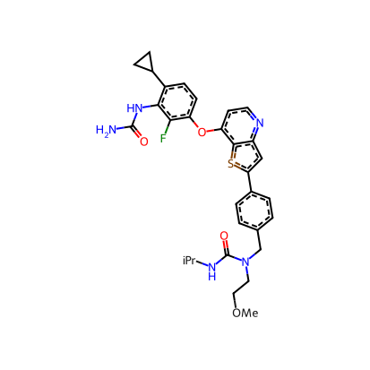 COCCN(Cc1ccc(-c2cc3nccc(Oc4ccc(C5CC5)c(NC(N)=O)c4F)c3s2)cc1)C(=O)NC(C)C